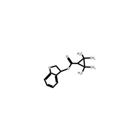 CC1(C)C(C(=O)OC2COc3ccccc32)C1(C)C